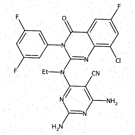 CCN(c1nc(N)nc(N)c1C#N)c1nc2c(Cl)cc(F)cc2c(=O)n1-c1cc(F)cc(F)c1